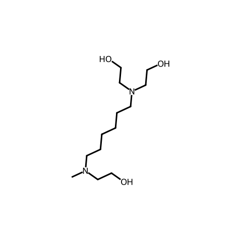 CN(CCO)CCCCCCN(CCO)CCO